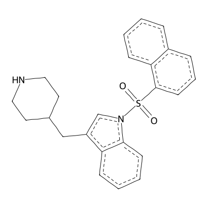 O=S(=O)(c1cccc2ccccc12)n1cc(CC2CCNCC2)c2ccccc21